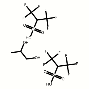 CC(O)CO.O=S(=O)(O)C(C(F)(F)F)C(F)(F)F.O=S(=O)(O)C(C(F)(F)F)C(F)(F)F